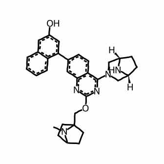 CN1C2CCC1(COc1nc(N3C[C@H]4CC[C@@H](C3)N4)c3ccc(-c4cc(O)cc5ccccc45)cc3n1)CC2